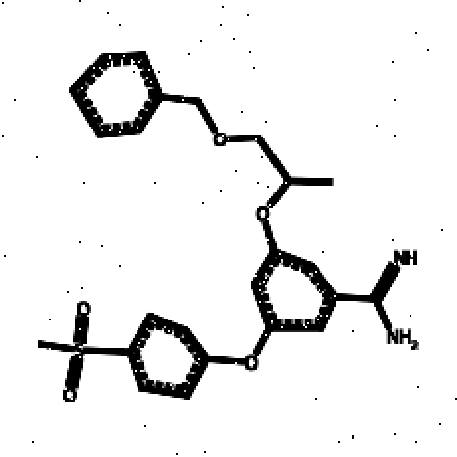 CC(COCc1ccccc1)Oc1cc(Oc2ccc(S(C)(=O)=O)cc2)cc(C(=N)N)c1